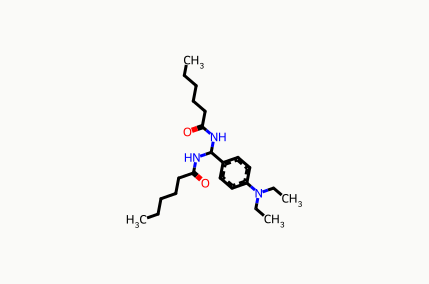 CCCCCC(=O)NC(NC(=O)CCCCC)c1ccc(N(CC)CC)cc1